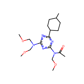 COCN(COC)c1nc(C2CCC(C)CC2)nc(N(COC)C(C)=O)n1